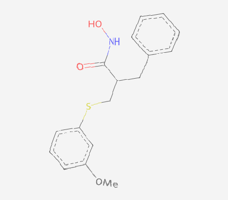 COc1cccc(SCC(Cc2ccccc2)C(=O)NO)c1